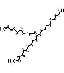 CCCCCCCCCC[Si](CCCCCCCCCC)CCCCCCCCCC